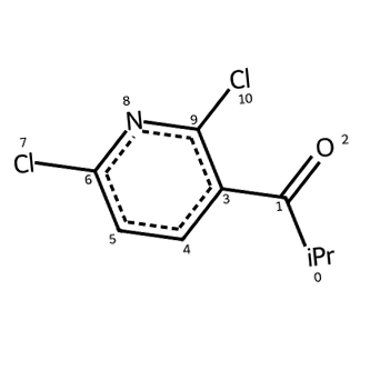 CC(C)C(=O)c1ccc(Cl)nc1Cl